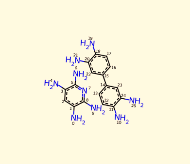 Nc1cc(N)c(N)nc1N.Nc1ccc(-c2ccc(N)c(N)c2)cc1N